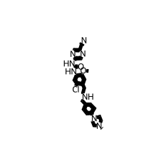 COc1cc(CCNCc2ccc(N3CCN(C)CC3)cc2)c(Cl)cc1NC(=O)Nc1cnc(C#N)cn1